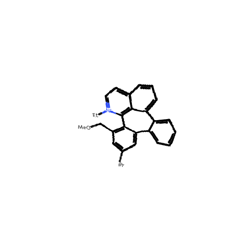 CC[n+]1ccc2cccc3c2c1-c1c(COC)cc(C(C)C)cc1-c1ccccc1-3